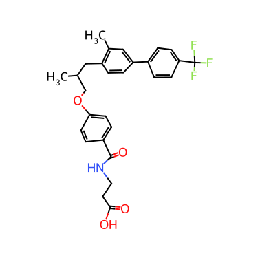 Cc1cc(-c2ccc(C(F)(F)F)cc2)ccc1CC(C)COc1ccc(C(=O)NCCC(=O)O)cc1